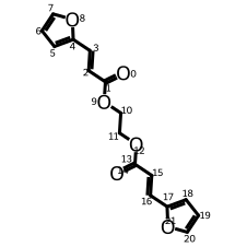 O=C(C=Cc1ccco1)OCCOC(=O)C=Cc1ccco1